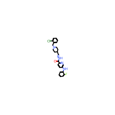 O=C(N/N=C/C1CCN(Cc2ccccc2Cl)CC1)c1ccc(Nc2ccccc2F)cn1